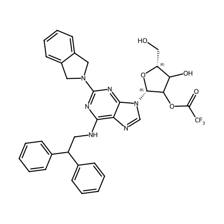 O=C(OC1C(O)[C@@H](CO)O[C@H]1n1cnc2c(NCC(c3ccccc3)c3ccccc3)nc(N3Cc4ccccc4C3)nc21)C(F)(F)F